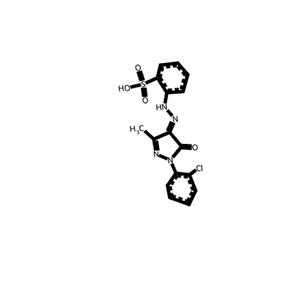 CC1=NN(c2ccccc2Cl)C(=O)/C1=N/Nc1ccccc1S(=O)(=O)O